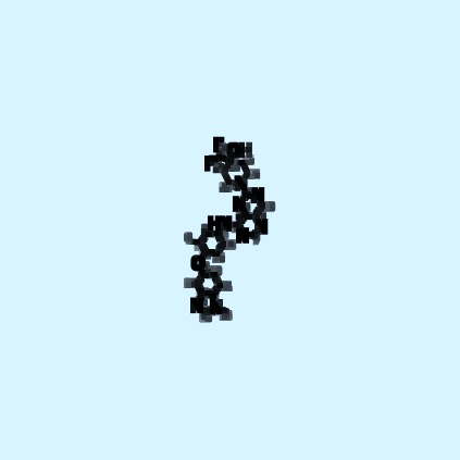 Cc1cc(Nc2ncnc3cnc(N4CCC(O)(C(F)F)CC4)nc23)ccc1Oc1ccc2c(c1)ncn2C